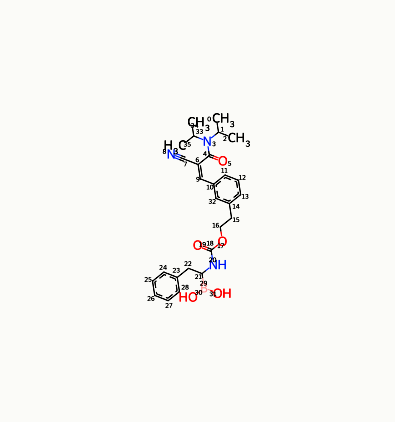 CC(C)N(C(=O)C(C#N)=Cc1cccc(CCOC(=O)NC(Cc2ccccc2)B(O)O)c1)C(C)C